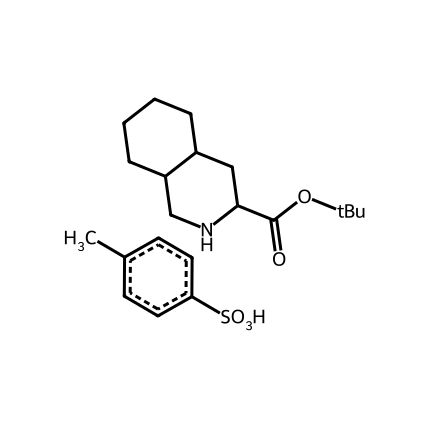 CC(C)(C)OC(=O)C1CC2CCCCC2CN1.Cc1ccc(S(=O)(=O)O)cc1